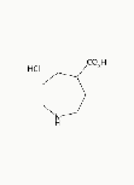 Cl.O=C(O)C1CCCNCC1